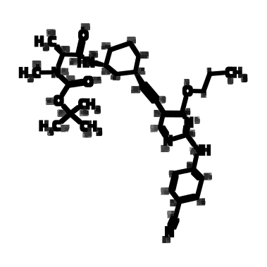 CCCOc1nc(Nc2ccc(C#N)cc2)ncc1C#C[C@@H]1CCC[C@H](NC(=O)[C@H](C)N(C)C(=O)OC(C)(C)C)C1